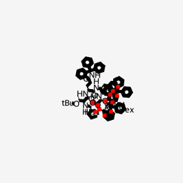 CCCCCCN[C@@H](CSC(c1ccccc1)(c1ccccc1)c1ccccc1)C(=O)N1CCC[C@H]1C(=O)N1CCC[C@H]1C(=O)N[C@H](C(=O)N[C@@H](CCC(=O)NC(c1ccccc1)(c1ccccc1)c1ccccc1)C(=O)N[C@@H](Cc1ccccc1)C(=O)N[C@@H](CSC(c1ccccc1)(c1ccccc1)c1ccccc1)C(=O)CN)[C@@H](C)OC(C)(C)C